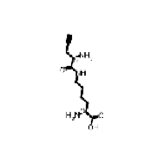 C#CC[C@@H](N)C(=O)NCCCC[C@@H](N)C(=O)O